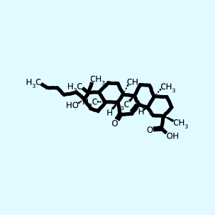 CCCCC[C@]1(O)CC[C@@]2(C)C(CC[C@]3(C)[C@@H]2C(=O)C=C2[C@@H]4C[C@@](C)(C(=O)O)CC[C@]4(C)CC[C@]23C)C1(C)C